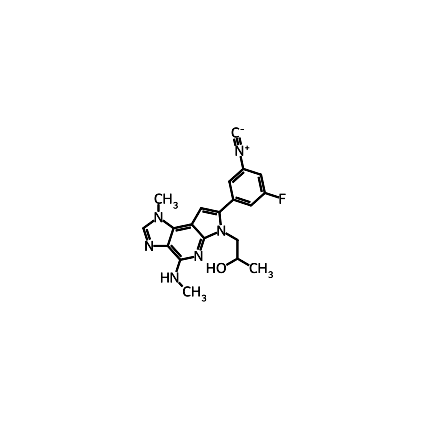 [C-]#[N+]c1cc(F)cc(-c2cc3c4c(ncn4C)c(NC)nc3n2CC(C)O)c1